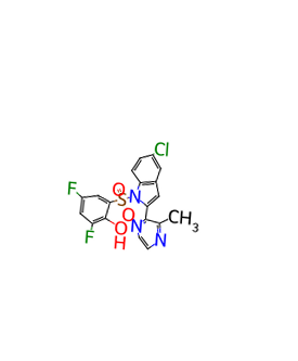 Cc1nccnc1-c1cc2cc(Cl)ccc2n1S(=O)(=O)c1cc(F)cc(F)c1O